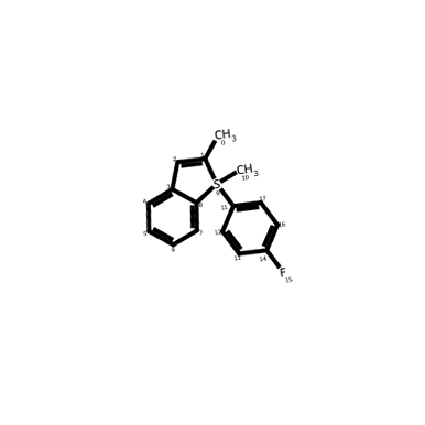 CC1=Cc2ccccc2S1(C)c1ccc(F)cc1